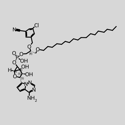 CCCCCCCCCCCCCCCCCCOC[C@H](COP(=O)(O)OC1[C@H]2O[C@@H](c3ccc4c(N)ncnn34)[C@H](O)[C@@]12O)OCc1cc(Cl)cc(C#N)c1